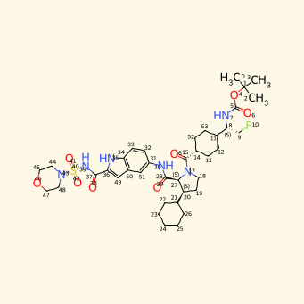 CC(C)(C)OC(=O)N[C@H](CF)[C@H]1CC[C@H](C(=O)N2CC[C@@H](C3CCCCC3)[C@H]2C(=O)Nc2ccc3[nH]c(C(=O)NS(=O)(=O)N4CCOCC4)cc3c2)CC1